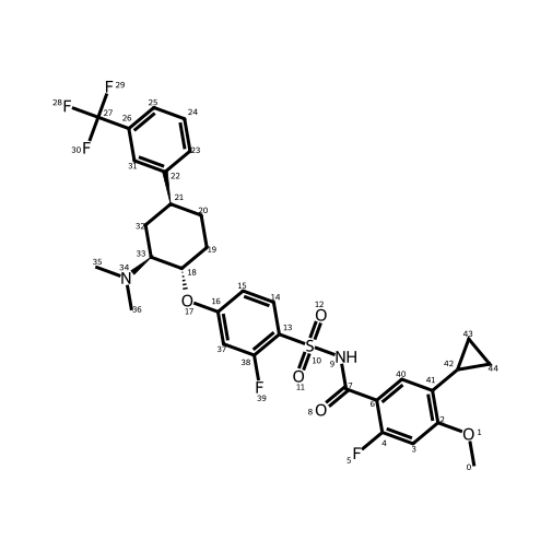 COc1cc(F)c(C(=O)NS(=O)(=O)c2ccc(O[C@H]3CC[C@H](c4cccc(C(F)(F)F)c4)C[C@@H]3N(C)C)cc2F)cc1C1CC1